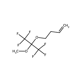 C=CCCOC(OC)(C(F)(F)F)C(F)(F)F